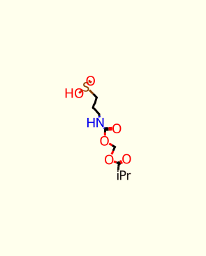 CC(C)C(=O)OCOC(=O)NCCCS(=O)O